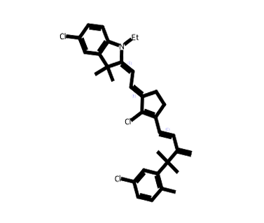 C=C(/C=C/C1=C(Cl)C(=C/C=C2/N(CC)c3ccc(Cl)cc3C2(C)C)/CC1)C(C)(C)c1cc(Cl)ccc1C